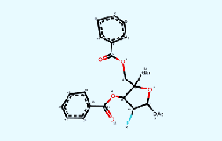 CC(=O)OC1OC(COC(=O)c2ccccc2)(C(C)(C)C)C(OC(=O)c2ccccc2)C1F